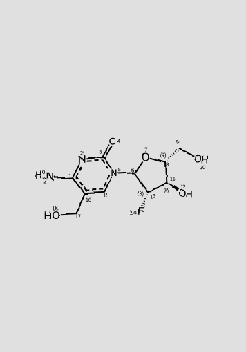 Nc1nc(=O)n(C2O[C@H](CO)[C@@H](O)[C@@H]2F)cc1CO